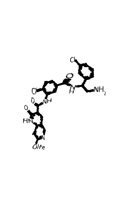 COc1cc2[nH]c(=O)c(C(=O)Nc3cc(C(=O)NC(CN)c4cccc(Cl)c4)ccc3Cl)cc2cn1